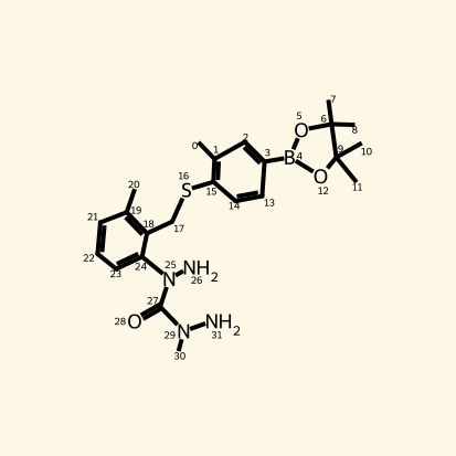 Cc1cc(B2OC(C)(C)C(C)(C)O2)ccc1SCc1c(C)cccc1N(N)C(=O)N(C)N